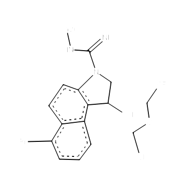 CCCCNC(=N)N1CC(C)c2c1ccc1c(Br)cccc21.FC(F)(F)COCC(F)(F)F